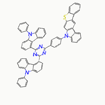 c1ccc(-n2c3ccccc3c3c(-c4nc(-c5ccc(-n6c7ccccc7c7cc8c(cc76)sc6ccccc68)cc5)nc(-c5cccc6c5c5ccccc5n6-c5ccccc5)n4)cccc32)cc1